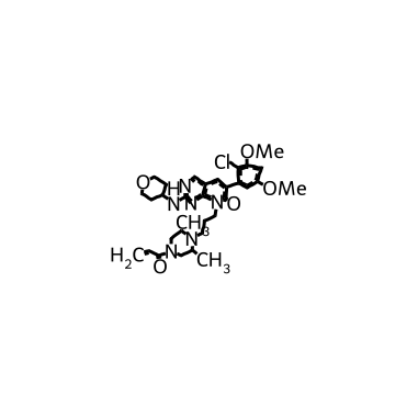 C=CC(=O)N1CC(C)N(CCCn2c(=O)c(-c3cc(OC)cc(OC)c3Cl)cc3cnc(NC4CCOCC4)nc32)C(C)C1